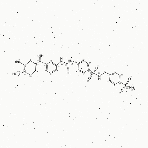 CC(C)(C)C1CN(C(=N)c2cccc(NC(=O)Nc3ccc(S(=O)(=O)NCc4ccc(S(N)(=O)=O)cc4)cc3)c2)CCN1C(=O)O